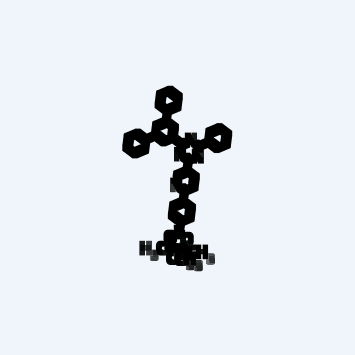 CC1(C)OB(c2ccc(-c3ccc(-c4nc(-c5ccccc5)nc(-c5cc(-c6ccccc6)cc(-c6ccccc6)c5)n4)cn3)cc2)OC1(C)C